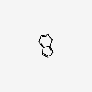 C1=NCC2=NN=CC2=N1